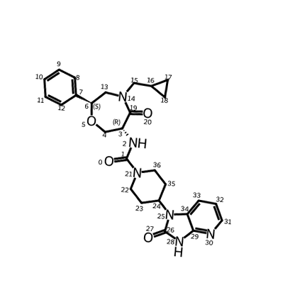 O=C(N[C@@H]1CO[C@@H](c2ccccc2)CN(CC2CC2)C1=O)N1CCC(n2c(=O)[nH]c3ncccc32)CC1